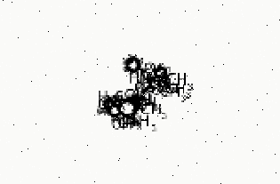 CC1=C2[C@H](C)[C@H](O)[C@@]3(C)[C@H]([C@H](C)[C@](O)(C[C@@H]1OC(=O)[C@H](O[Si](C)(C)C(C)(C)C)[C@@H](NC(=O)c1ccccc1)c1ccccc1)C2(C)C)[C@]1(C)CO[C@@H]1C[C@@H]3O